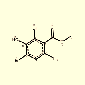 COC(=O)c1c(F)cc(Br)c(O)c1O